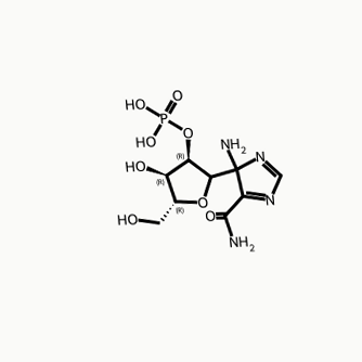 NC(=O)C1=NC=NC1(N)C1O[C@H](CO)[C@@H](O)[C@H]1OP(=O)(O)O